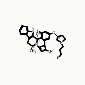 C[C@H]1Cc2c([nH]c3ccccc23)[C@@]2(O)c3c(F)cc(O[C@H]4CCN(CCCF)C4)cc3C3C4(C#N)CC3(C4)N12